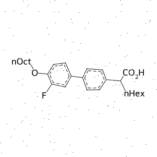 CCCCCCCCOc1ccc(-c2ccc(C(CCCCCC)C(=O)O)cc2)cc1F